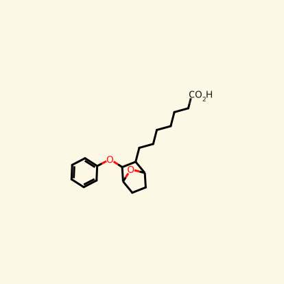 O=C(O)CCCCCCC1C2CCC(O2)C1Oc1ccccc1